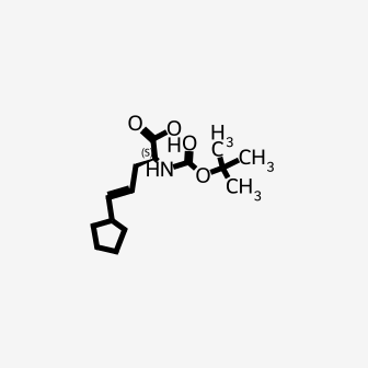 CC(C)(C)OC(=O)N[C@@H](CC=CC1CCCC1)C(=O)O